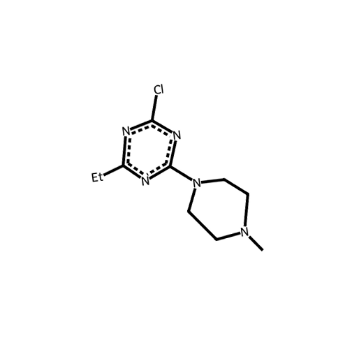 CCc1nc(Cl)nc(N2CCN(C)CC2)n1